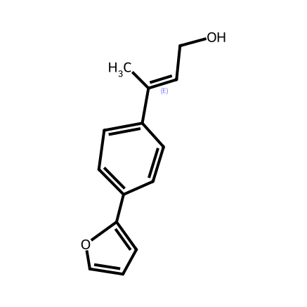 C/C(=C\CO)c1ccc(-c2ccco2)cc1